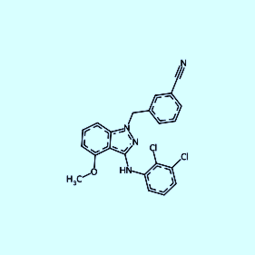 COc1cccc2c1c(Nc1cccc(Cl)c1Cl)nn2Cc1cccc(C#N)c1